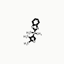 Cc1occ([Si](C)(C)c2nc3ccccc3s2)c1C